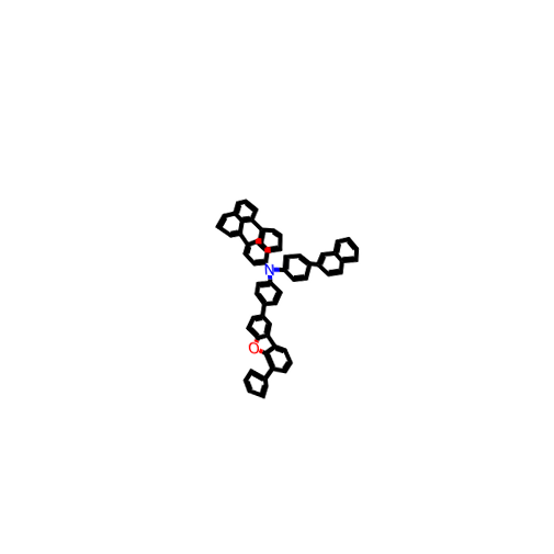 c1ccc(-c2cccc3c2oc2ccc(-c4ccc(N(c5ccc(-c6ccc7ccccc7c6)cc5)c5ccc(-c6cccc7cccc(-c8ccccc8)c67)cc5)cc4)cc23)cc1